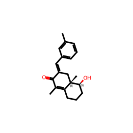 CC1=C2CCC[C@H](O)[C@@]2(C)CC(=Cc2cccc(C)c2)C1=O